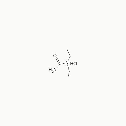 CCN(CC)C(N)=O.Cl